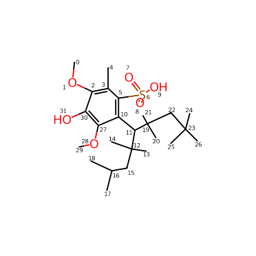 COc1c(C)c(S(=O)(=O)O)c(C(C(C)(C)CC(C)C)C(C)(C)CC(C)(C)C)c(OC)c1O